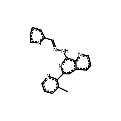 Cc1cccnc1-c1cc2cccnc2c(NN=Cc2ccccn2)n1